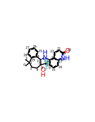 CC1(C)CC[C@](O)(C(F)(F)F)[C@H](Nc2cccc3[nH]c(=O)ccc23)c2ccccc21